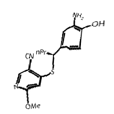 CCC[C@H](Sc1cc(OC)ncc1C#N)c1ccc(O)c(N)c1